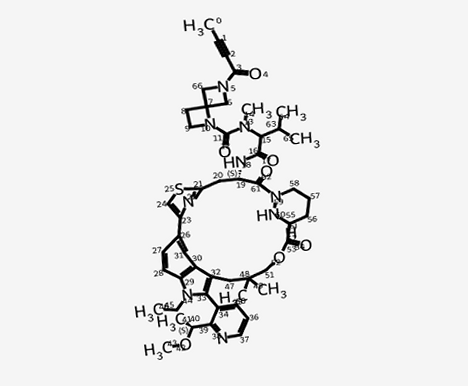 CC#CC(=O)N1CC2(CCN2C(=O)N(C)C(C(=O)N[C@H]2Cc3nc(cs3)-c3ccc4c(c3)c(c(-c3cccnc3[C@H](C)OC)n4CC)CC(C)(C)COC(=O)[C@@H]3CCCN(N3)C2=O)C(C)C)C1